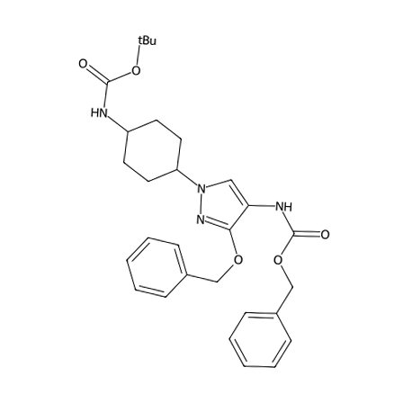 CC(C)(C)OC(=O)NC1CCC(n2cc(NC(=O)OCc3ccccc3)c(OCc3ccccc3)n2)CC1